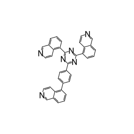 c1cc(-c2ccc(-c3nc(-c4cccc5cnccc45)nc(-c4cccc5cnccc45)n3)cc2)c2ccncc2c1